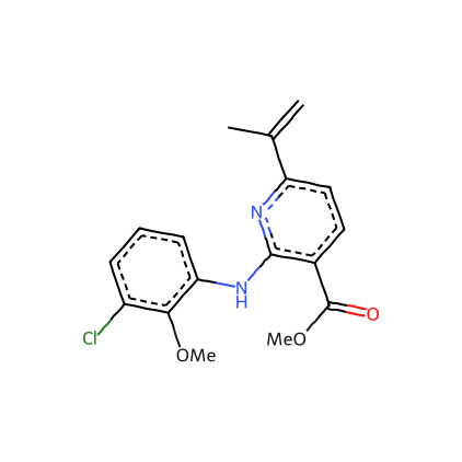 C=C(C)c1ccc(C(=O)OC)c(Nc2cccc(Cl)c2OC)n1